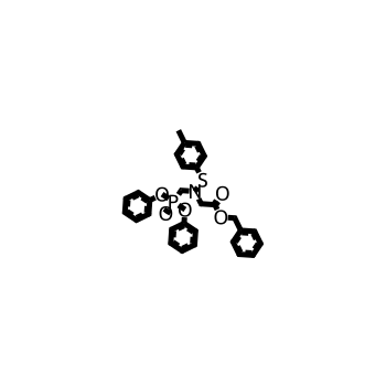 Cc1ccc(SN(CC(=O)OCc2ccccc2)CP(=O)(Oc2ccccc2)Oc2ccccc2)cc1